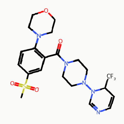 CS(=O)(=O)c1ccc(N2CCOCC2)c(C(=O)N2CCN(N3C=NC=CC3C(F)(F)F)CC2)c1